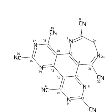 N#CC1=Nc2c(c3nc(C#N)nc(C#N)c3c3nc(C#N)nc(C#N)c23)C(C#N)=NC1